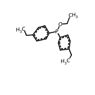 CCOP(c1ccc(CC)cc1)c1ccc(CC)cc1